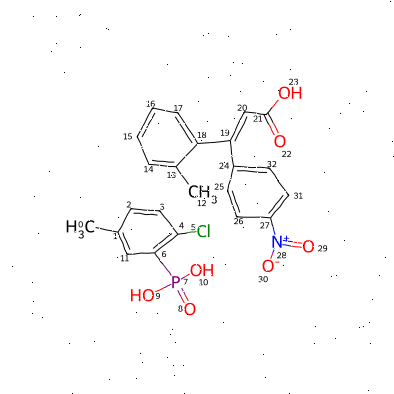 Cc1ccc(Cl)c(P(=O)(O)O)c1.Cc1ccccc1C(=CC(=O)O)c1ccc([N+](=O)[O-])cc1